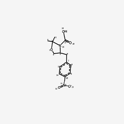 CC1(C)OCC(Cc2ccc([N+](=O)[O-])cc2)N1C(=O)O